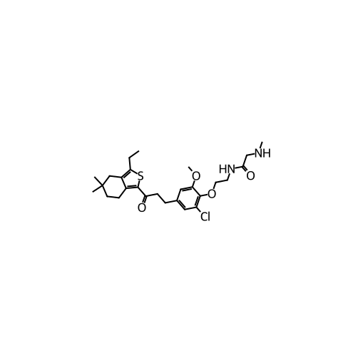 CCc1sc(C(=O)CCc2cc(Cl)c(OCCNC(=O)CNC)c(OC)c2)c2c1CC(C)(C)CC2